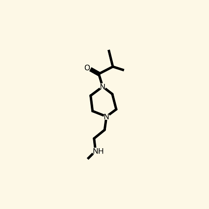 CNCCN1CCN(C(=O)C(C)C)CC1